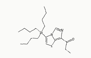 CCC[CH2][Sn]([CH2]CCC)([CH2]CCC)[c]1csc2c(C(=O)CC)ncn12